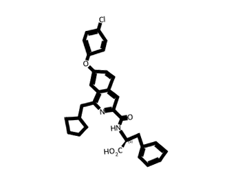 O=C(N[C@@H](Cc1ccccc1)C(=O)O)c1cc2ccc(Oc3ccc(Cl)cc3)cc2c(CC2CCCC2)n1